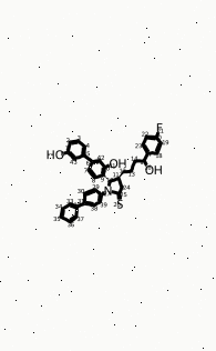 Oc1cccc(-c2ccc([C@@H]3[C@@H](CCCC(O)c4ccc(F)cc4)CC(=S)N3c3ccc(-c4ccccc4)cc3)c(O)c2)c1